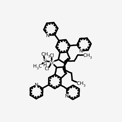 CCCCC1=Cc2c(-c3ccccn3)cc(-c3ccccn3)cc2[CH]1[Zr]([Cl])([Cl])([CH]1C(CCCC)=Cc2c(-c3ccccn3)cc(-c3ccccn3)cc21)[SiH](C)C